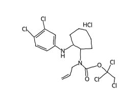 C=CCN(C(=O)OC(Cl)(Cl)CCl)C1CCCCCC1Nc1ccc(Cl)c(Cl)c1.Cl